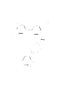 CC(C)(C)c1cc(C(=O)N2CCN(c3ccc(C(=O)O)nn3)CC2)cc(-c2cncc(O)c2)c1